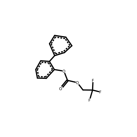 O=C(OCC(F)(F)F)Oc1ccccc1-c1ccccc1